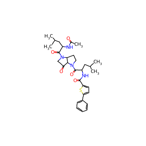 CC(=O)NC(CC(C)C)C(=O)N1CC(=O)C2C1CCN2C(=O)C(CC(C)C)NC(=O)c1ccc(-c2ccccc2)s1